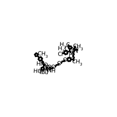 CC1=C(c2ccc(CNC(=O)C3C[C@@H](O)CN3C(=O)C(NC(=O)COCCCOCCCOc3ccc(C(C)CC(=O)CC4N=C(c5ccc(Cl)cc5)C5=C(CC(C)=C5C)n5c(C)nnc54)cc3)C(C)(C)C)cc2)CC=C1